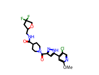 COc1cc(-c2cc(C(=O)N3CCC(C(=O)NCC4CC(F)(F)CO4)CC3)n[nH]2)c(Cl)cn1